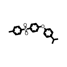 Cc1ccc(S(=O)(=O)c2ccc(Oc3ccc(C(C)C)cc3)cc2)cc1